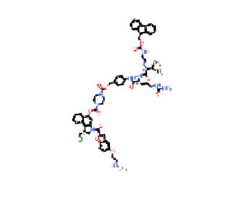 CNCCOc1ccc2oc(C(=O)N3C[C@@H](CCl)c4c3cc(OC(=O)N3CCN(C(=O)OCc5ccc(NC(=O)[C@H](CCCNC(N)=O)NC(=O)[C@@H](NCCNC(=O)OCC6c7ccccc7-c7ccccc76)C(C)C)cc5)CC3)c3ccccc43)cc2c1